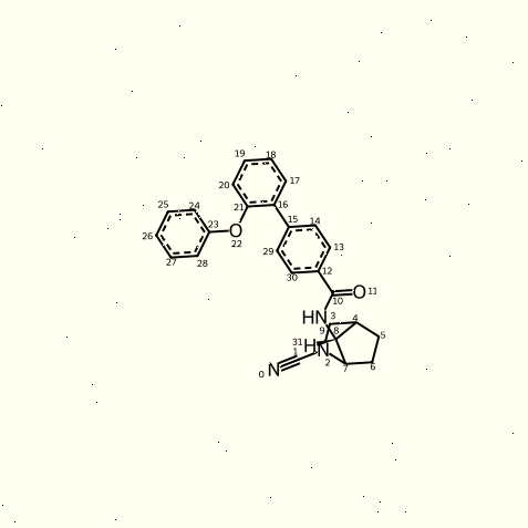 N#CN1CC2CCC1[C@@H]2NC(=O)c1ccc(-c2ccccc2Oc2ccccc2)cc1